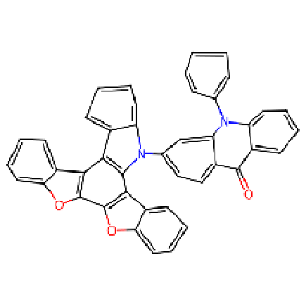 O=c1c2ccccc2n(-c2ccccc2)c2cc(-n3c4ccccc4c4c5c6ccccc6oc5c5oc6ccccc6c5c43)ccc12